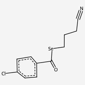 N#CCCC[Se]C(=O)c1ccc(Cl)cc1